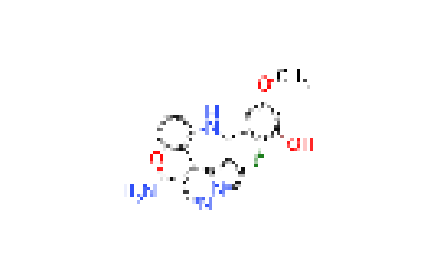 COc1cc(O)c(Cl)c(C2Nc3ccccc3-c3c(C(N)=O)cnn4ccc2c34)c1